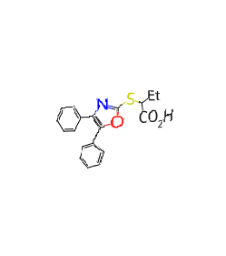 CCC(Sc1nc(-c2ccccc2)c(-c2ccccc2)o1)C(=O)O